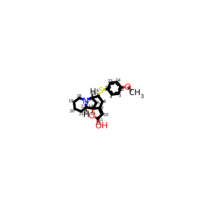 COc1ccc(SC2CC3=CC(O)O[C@@]34C[C@@H]2N2CCCC[C@@H]24)cc1